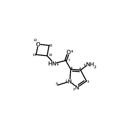 Cn1ncc(N)c1C(=O)NC1COC1